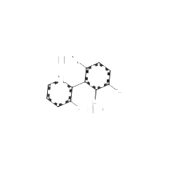 Nc1ccc(F)c(F)c1-c1ncccc1C=O